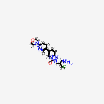 NC/C(=C\F)Cn1nc2ccc(-c3ccc(N4CCOCC4)nc3)cn2c1=O